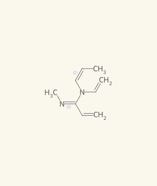 C=C/C(=N/C)N(C=C)/C=C\C